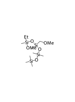 CC[Si](C)(OC)O[Si](C)(COC)O[Si](C)(C)O[Si](C)(C)C